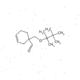 CC(C)(C)[Si](C)(C)OCC1(C=O)CC=CCC1